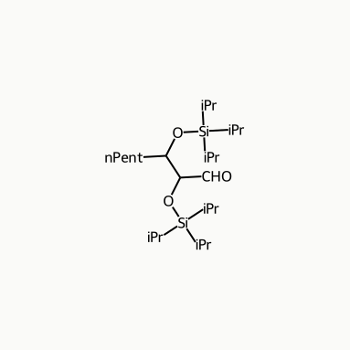 CCCCCC(O[Si](C(C)C)(C(C)C)C(C)C)C(C=O)O[Si](C(C)C)(C(C)C)C(C)C